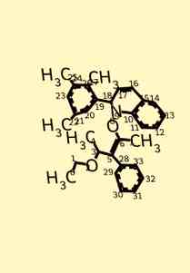 CCOC(C)/C(=C(/C)ON1c2ccccc2C=CC1c1cc(C)cc(C)c1C)c1ccccc1